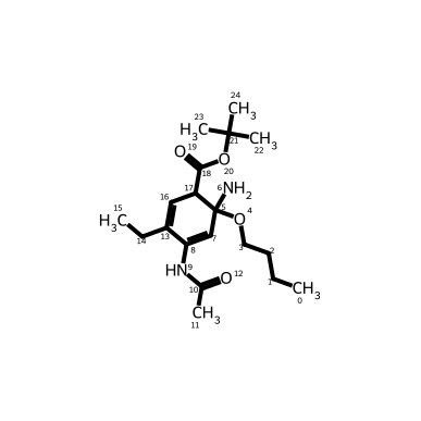 CCCCOC1(N)C=C(NC(C)=O)C(CC)=CC1C(=O)OC(C)(C)C